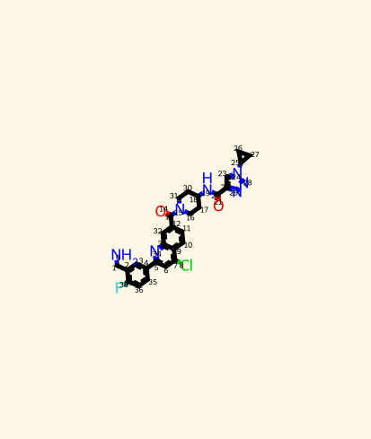 NCc1cc(-c2cc(Cl)c3ccc(C(=O)N4CCC(NC(=O)c5cn(C6CC6)nn5)CC4)cc3n2)ccc1F